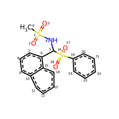 CS(=O)(=O)NC(c1cccc2ccccc12)S(=O)(=O)c1ccccc1